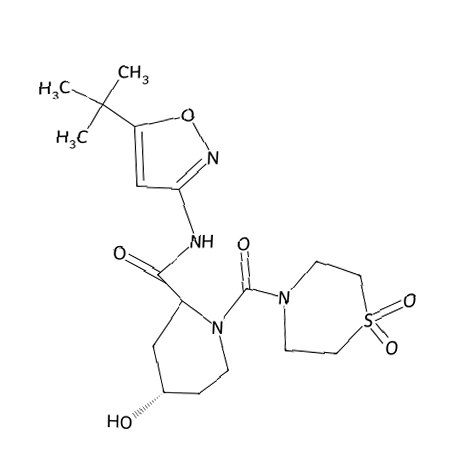 CC(C)(C)c1cc(NC(=O)C2C[C@@H](O)CCN2C(=O)N2CCS(=O)(=O)CC2)no1